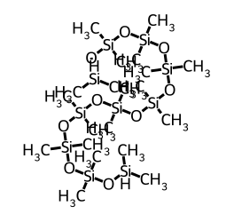 C[SiH](C)O[Si](C)(C)O[Si](C)(C)O[Si](C)(C)O[Si](C)(C)O[Si](C)(C)O[Si](C)(C)O[Si](C)(C)O[Si](C)(C)O[SiH](C)C